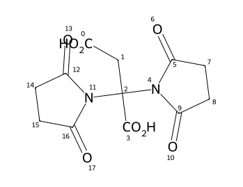 O=C(O)CC(C(=O)O)(N1C(=O)CCC1=O)N1C(=O)CCC1=O